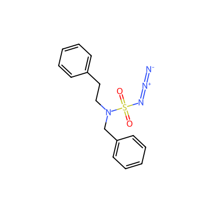 [N-]=[N+]=NS(=O)(=O)N(CCc1ccccc1)Cc1ccccc1